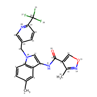 Cc1ccc2c(c1)c(NC(=O)c1conc1C)cn2Cc1ccc(C(F)(F)F)nc1